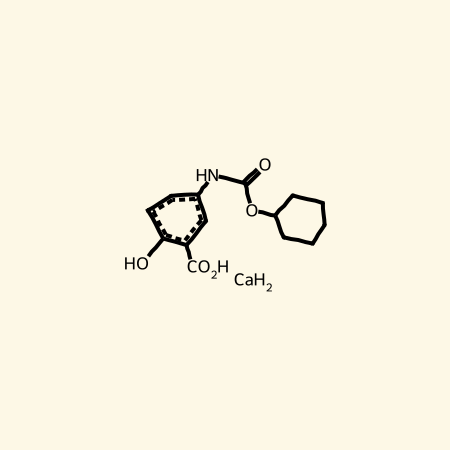 O=C(Nc1ccc(O)c(C(=O)O)c1)OC1CCCCC1.[CaH2]